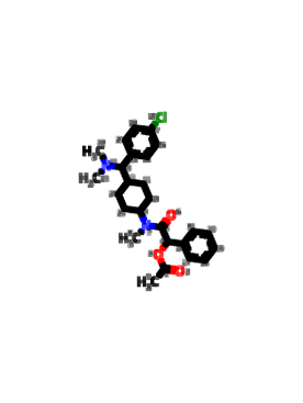 CC(=O)OC(C(=O)N(C)C1CCC(C(c2ccc(Cl)cc2)N(C)C)CC1)c1ccccc1